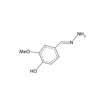 COc1cc(C=NN)ccc1O